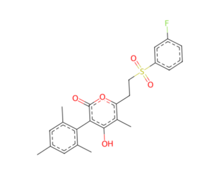 Cc1cc(C)c(-c2c(O)c(C)c(CCS(=O)(=O)c3cccc(F)c3)oc2=O)c(C)c1